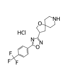 Cl.FC(F)(F)c1ccc(-c2nc(C3COC4(CCNCC4)C3)no2)cc1